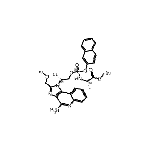 CCCCOC(=O)[C@H](C)N[P@](=O)(OC[C@@H](CC)n1c(COCC)nc2c(N)nc3ccccc3c21)Oc1ccc2ccccc2c1